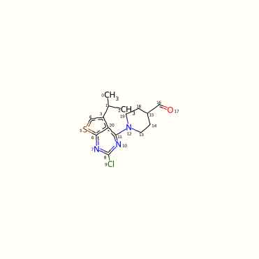 CC(C)c1csc2nc(Cl)nc(N3CCC(C=O)CC3)c12